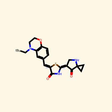 CC(C)(C)CN1CCOc2ccc(/C=c3\s/c(=C4\CNC5(CC5)C4=O)[nH]c3=O)cc21